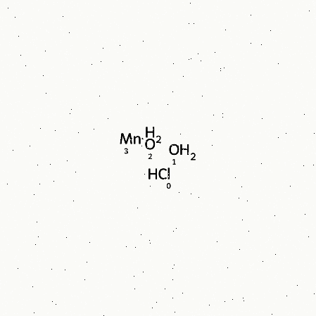 Cl.O.O.[Mn]